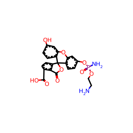 NCCOP(N)(=O)Oc1ccc2c(c1)Oc1cc(O)ccc1C21OC(=O)c2c(C(=O)O)cccc21